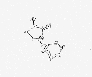 O=C1[C@H](Br)CCN1c1cccnc1